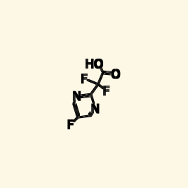 O=C(O)C(F)(F)c1ncc(F)cn1